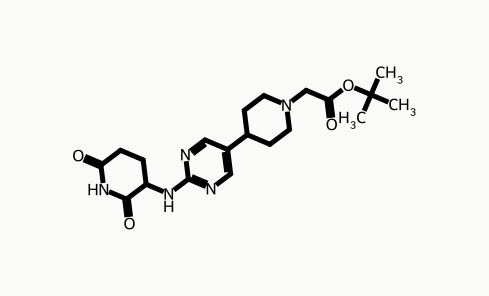 CC(C)(C)OC(=O)CN1CCC(c2cnc(NC3CCC(=O)NC3=O)nc2)CC1